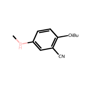 CBc1ccc(OCC(C)C)c(C#N)c1